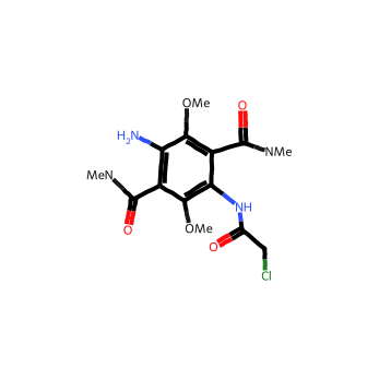 CNC(=O)c1c(N)c(OC)c(C(=O)NC)c(NC(=O)CCl)c1OC